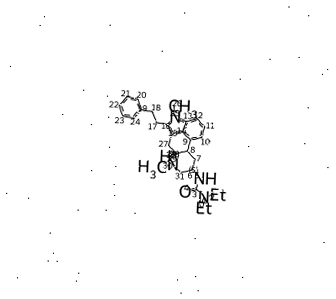 CCN(CC)C(=O)N[C@H]1CC2c3cccc4c3c(c(CCc3ccccc3)n4C)C[C@H]2N(C)C1